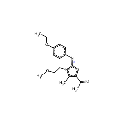 CCOc1ccc(/N=c2/sc(C(C)=O)c(C)n2CCOC)cc1